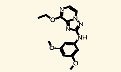 CCOc1nccn2nc(Nc3cc(OC)cc(OC)c3)nc12